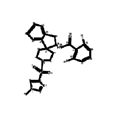 Cn1cnc(S(=O)(=O)N2CCC3(CC2)c2ccccc2CC3NC(=O)c2c(F)cccc2F)c1